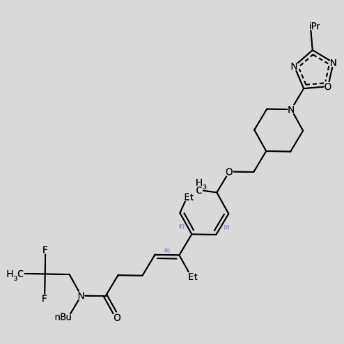 CC/C=C(\C=C/C(C)OCC1CCN(c2nc(C(C)C)no2)CC1)C(=C/CCC(=O)N(CCCC)CC(C)(F)F)/CC